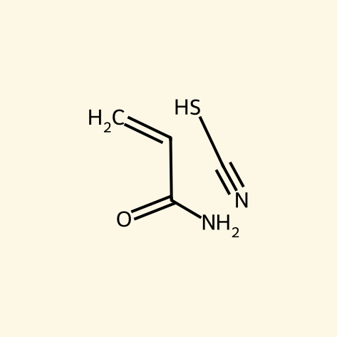 C=CC(N)=O.N#CS